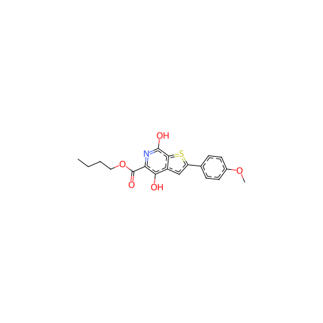 CCCCOC(=O)c1nc(O)c2sc(-c3ccc(OC)cc3)cc2c1O